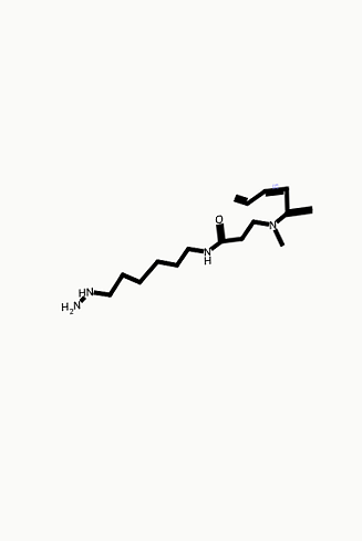 C=C/C=C\C(=C)N(C)CCC(=O)NCCCCCCNN